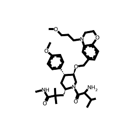 CNC(=O)C(C)(C)C[C@@H]1C[C@H](c2ccc(OC)cc2)[C@@H](OCc2ccc3c(c2)N(CCCOC)CCO3)CN1C(=O)C(N)C(C)C